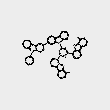 Fc1cccc2c1oc1c(-c3nc(-c4cccc5c4oc4c(F)cccc45)nc(-n4c5ccccc5c5ccc(-c6ccc7c(c6)c6ccccc6n7-c6ccccc6)cc54)n3)cccc12